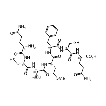 CC[C@H](C)[C@H](NC(=O)[C@H](CS)NC(=O)[C@@H](N)CCC(N)=O)C(=O)N[C@@H](CCSC)C(=O)N[C@@H](Cc1ccccc1)C(=O)N[C@@H](CS)C(=O)N[C@@H](CCC(N)=O)C(=O)O